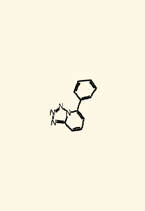 c1ccc(-c2cccc3nnnn23)cc1